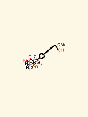 COC(CO)CC#CC#Cc1ccc(C(=O)N[C@H](C(=O)NO)C(C)(C)[S+](C)[O-])cc1